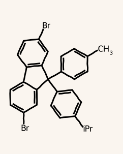 Cc1ccc(C2(c3ccc(C(C)C)cc3)c3cc(Br)ccc3-c3ccc(Br)cc32)cc1